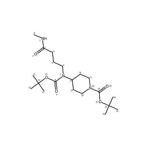 CNC(=O)CCCN(C(=O)OC(C)(C)C)C1CCN(C(=O)OC(C)(C)C)CC1